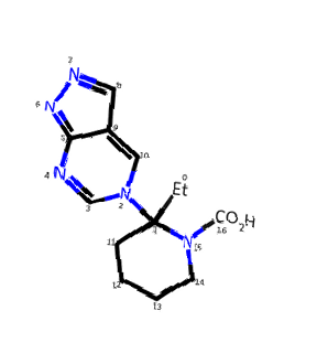 CCC1(n2cnc3nncc-3c2)CCCCN1C(=O)O